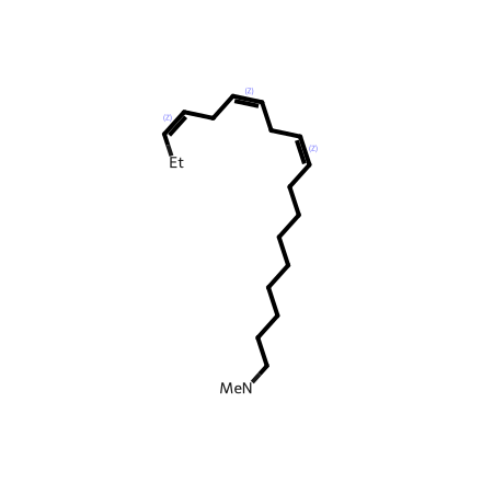 CC/C=C\C/C=C\C/C=C\CCCCCCCCNC